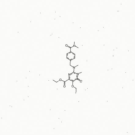 CCOC(=O)c1nc(N(C)Cc2ccc(C(=O)N(C)C)cc2)n(C)c(=O)c1OCC